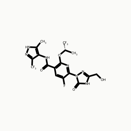 Cc1[nH]nc(C(F)(F)F)c1NC(=O)c1cc(F)c(-n2nc(CO)[nH]c2=O)nc1O[C@@H](C)C(F)(F)F